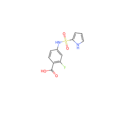 O=C(O)c1ccc(NS(=O)(=O)c2ccc[nH]2)cc1F